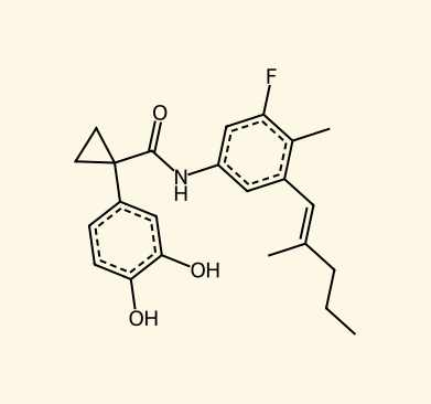 CCC/C(C)=C/c1cc(NC(=O)C2(c3ccc(O)c(O)c3)CC2)cc(F)c1C